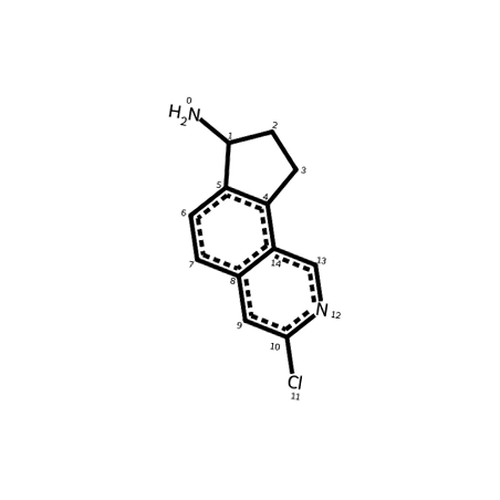 NC1CCc2c1ccc1cc(Cl)ncc21